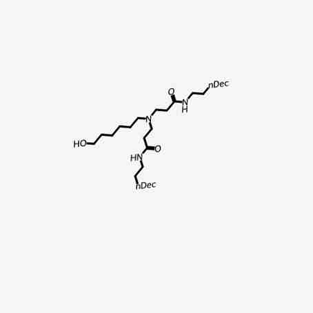 CCCCCCCCCCCCNC(=O)CCN(CCCCCCO)CCC(=O)NCCCCCCCCCCCC